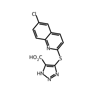 O=C(O)c1[nH]nnc1Sc1ccc2cc(Cl)ccc2n1